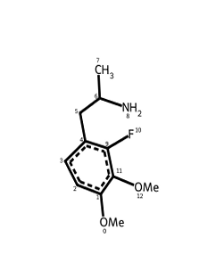 COc1ccc(CC(C)N)c(F)c1OC